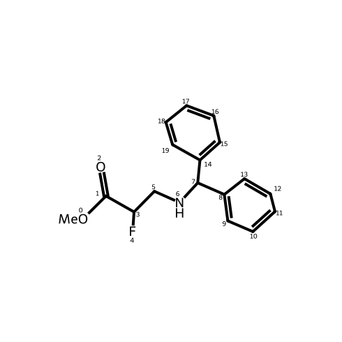 COC(=O)C(F)CNC(c1ccccc1)c1ccccc1